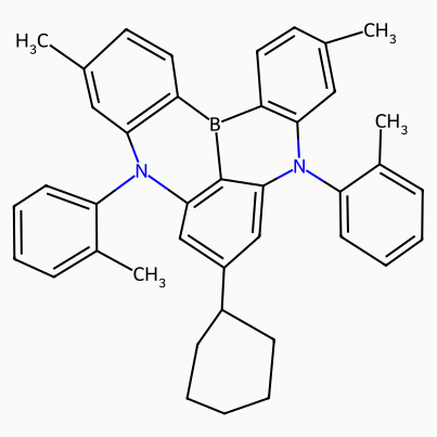 Cc1ccc2c(c1)N(c1ccccc1C)c1cc(C3CCCCC3)cc3c1B2c1ccc(C)cc1N3c1ccccc1C